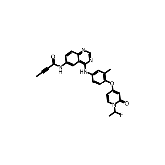 CC#CC(=O)Nc1ccc2ncnc(Nc3ccc(Oc4ccn(C(C)F)c(=O)c4)c(C)c3)c2c1